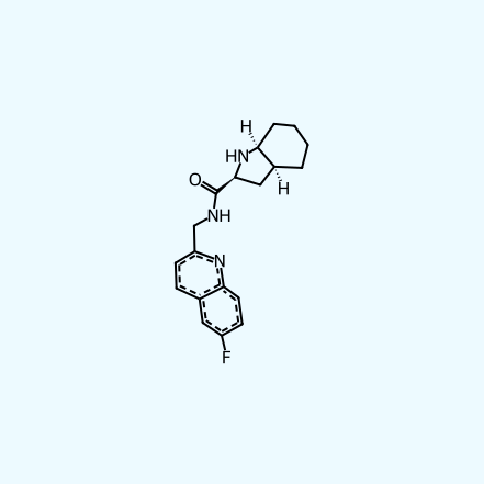 O=C(NCc1ccc2cc(F)ccc2n1)[C@@H]1C[C@@H]2CCCC[C@@H]2N1